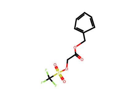 O=C(COS(=O)(=O)C(F)(F)F)OCc1ccccc1